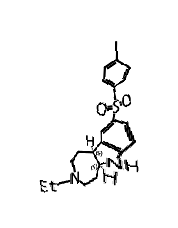 CCN1CC[C@@H]2Nc3ccc(S(=O)(=O)c4ccc(C)cc4)cc3[C@@H]2CC1